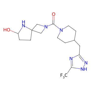 O=C(N1CCC(Cc2n[nH]c(C(F)(F)F)n2)CC1)N1CC2(CCC(O)N2)C1